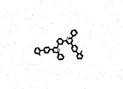 Cc1ccccc1-c1ccc(-c2cc(-c3ccccc3)nc(-c3cccc(-c4cc(-c5ccc(-c6ccccc6C)cc5)cc(-c5ccccc5)n4)c3)c2)cc1